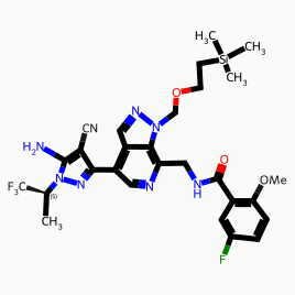 COc1ccc(F)cc1C(=O)NCc1ncc(-c2nn([C@@H](C)C(F)(F)F)c(N)c2C#N)c2cnn(COCC[Si](C)(C)C)c12